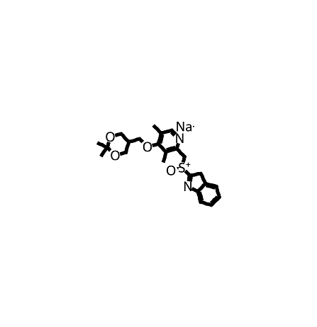 Cc1cnc(C[S@+]([O-])C2=Nc3ccccc3C2)c(C)c1OCC1COC(C)(C)OC1.[Na]